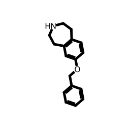 c1ccc(COc2ccc3c(c2)CCNCC3)cc1